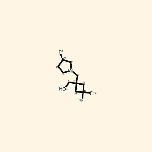 OCC1(CN2CC[C@@H](F)C2)CC(F)(F)C1